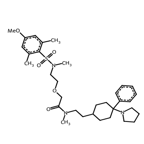 COc1cc(C)c(S(=O)(=O)N(C)CCOCC(=O)N(C)CCC2CCC(c3ccccc3)(N3CCCC3)CC2)c(C)c1